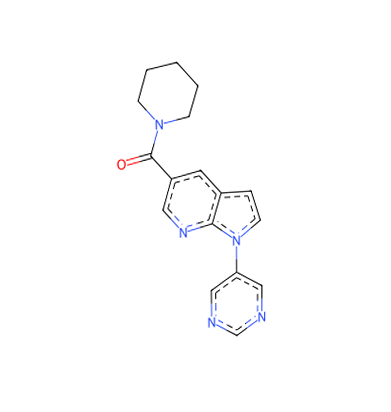 O=C(c1cnc2c(ccn2-c2cncnc2)c1)N1CCCCC1